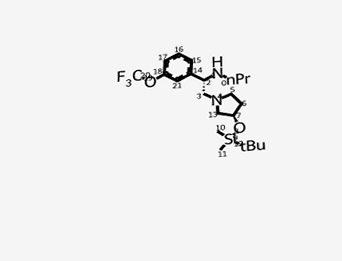 CCCN[C@H](CN1CC[C@@H](O[Si](C)(C)C(C)(C)C)C1)c1cccc(OC(F)(F)F)c1